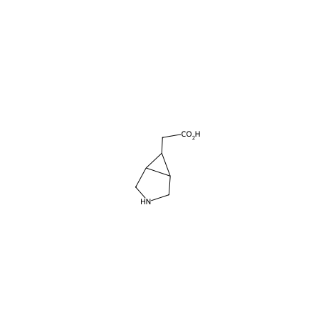 O=C(O)CC1C2CNCC21